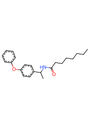 CCCCCCCC(=O)NC(C)c1ccc(Oc2ccccc2)cc1